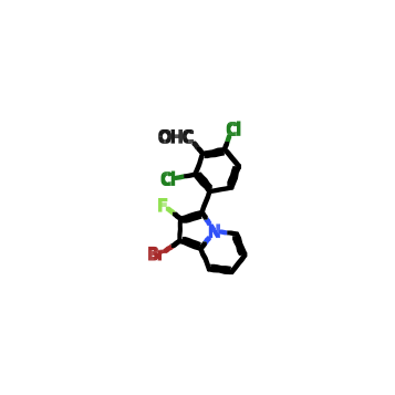 O=Cc1c(Cl)ccc(-c2c(F)c(Br)c3ccccn23)c1Cl